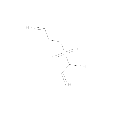 C=CCOS(=O)(=O)C(N)C=C